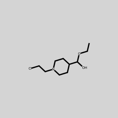 CCOC(O)C1CCN(CCCl)CC1